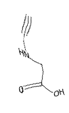 C#CNCC(=O)O